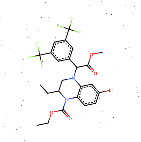 CCOC(=O)N1c2ccc(Br)cc2N(C(C(=O)OC)c2cc(C(F)(F)F)cc(C(F)(F)F)c2)CC1CC